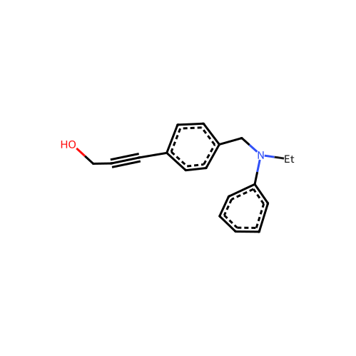 CCN(Cc1ccc(C#CCO)cc1)c1ccccc1